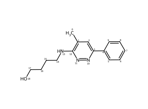 Cc1cc(-c2ccccc2)nnc1NCCCCO